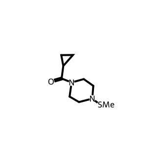 CSN1CCN(C(=O)C2CC2)CC1